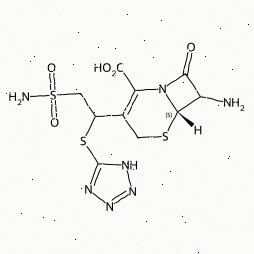 NC1C(=O)N2C(C(=O)O)=C(C(CS(N)(=O)=O)Sc3nnn[nH]3)CS[C@@H]12